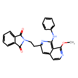 COc1nccc2cc(CCN3C(=O)c4ccccc4C3=O)nc(Nc3ccccc3)c12